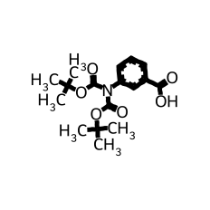 CC(C)(C)OC(=O)N(C(=O)OC(C)(C)C)c1cccc(C(=O)O)c1